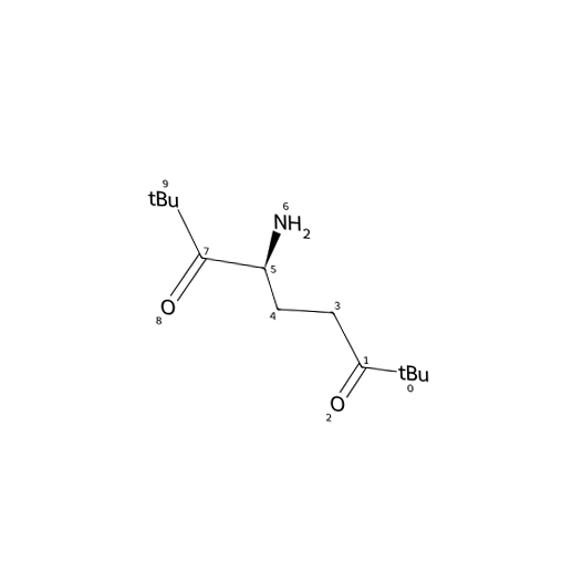 CC(C)(C)C(=O)CC[C@H](N)C(=O)C(C)(C)C